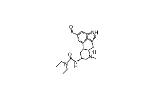 CCN(CC)C(=O)N[C@H]1CC2c3cc(C=O)cc4[nH]cc(c34)C[C@H]2N(C)C1